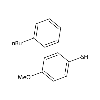 CCCCc1ccccc1.COc1ccc(S)cc1